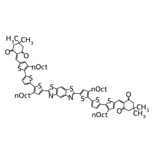 CCCCCCCCc1cc(C=C2C(=O)CC(C)(C)CC2=O)sc1-c1ccc(-c2sc(-c3nc4cc5nc(-c6cc(CCCCCCCC)c(-c7ccc(-c8sc(C=C9C(=O)CC(C)(C)CC9=O)cc8CCCCCCCC)s7)s6)sc5cc4s3)cc2CCCCCCCC)s1